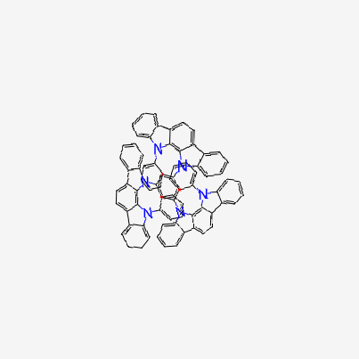 C1=c2c(n(-c3ccccc3)c3c2ccc2c4ccccc4n(-c4cc(-n5c6ccccc6c6ccc7c8ccccc8n(-c8ccccc8)c7c65)cc(-n5c6ccccc6c6ccc7c8ccccc8n(-c8ccccc8)c7c65)c4)c23)=CCC1